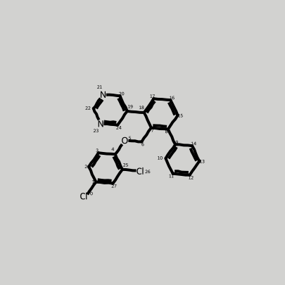 Clc1ccc(OCc2c(-c3ccccc3)cccc2-c2cncnc2)c(Cl)c1